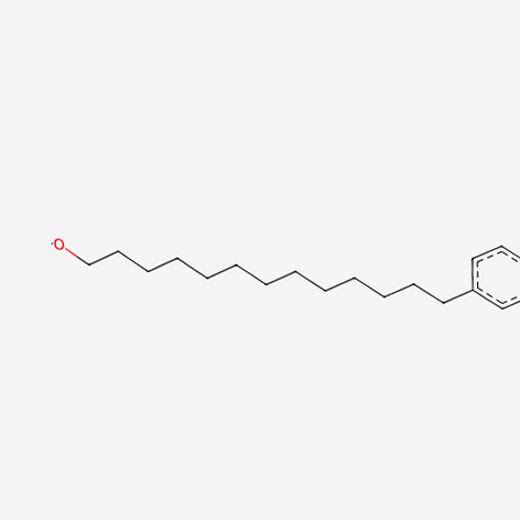 [O]CCCCCCCCCCCCCc1ccccc1